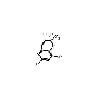 CCCc1cc(Cl)cc2c1OC(C(F)(F)F)C(C(=O)O)=C2